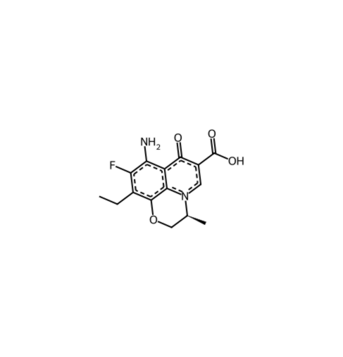 CCc1c(F)c(N)c2c(=O)c(C(=O)O)cn3c2c1OC[C@@H]3C